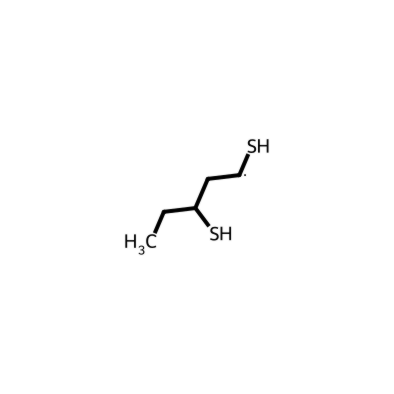 CCC(S)C[CH]S